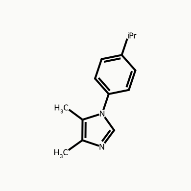 Cc1ncn(-c2ccc(C(C)C)cc2)c1C